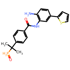 CC(C)([PH2]=O)c1ccc(C(=O)Nc2cc(-c3cccs3)ccc2N)cc1